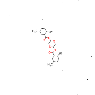 CC1CCC(C(C)C)C(C(=O)OC2COC(OC(=O)C3CC(C)CCC3C(C)C)CO2)C1